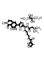 CCn1ccc2cc(-c3cnc([C@H](CCCCCC(=O)c4ccon4)NC(=O)CN(C)C)[nH]3)c(OC)cc2c1=O.O=C(O)[C@H](O)[C@@H](O)C(=O)O